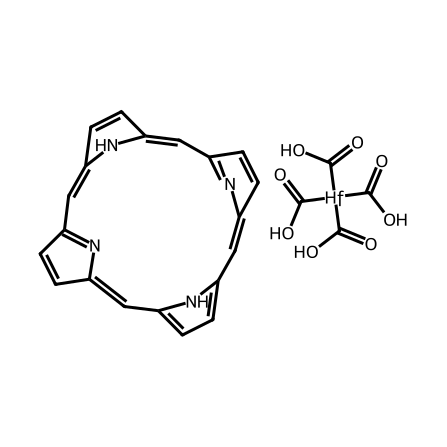 C1=Cc2cc3ccc(cc4nc(cc5ccc(cc1n2)[nH]5)C=C4)[nH]3.O=[C](O)[Hf]([C](=O)O)([C](=O)O)[C](=O)O